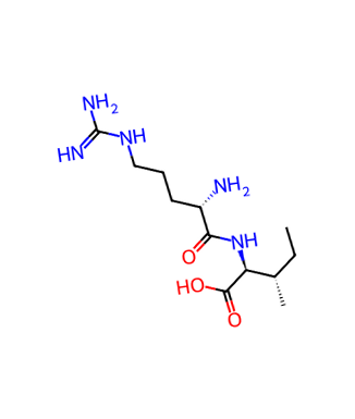 CC[C@H](C)[C@H](NC(=O)[C@@H](N)CCCNC(=N)N)C(=O)O